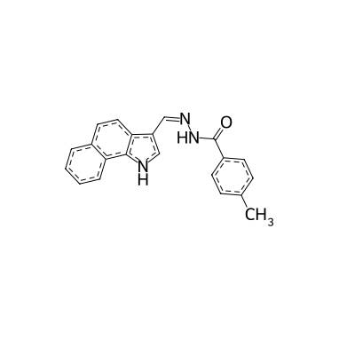 Cc1ccc(C(=O)N/N=C\c2c[nH]c3c2ccc2ccccc23)cc1